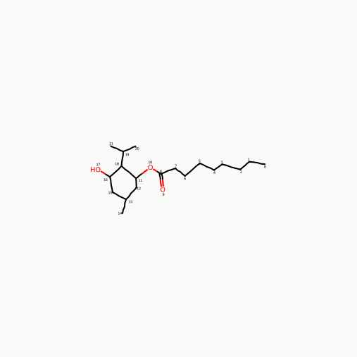 CCCCCCCCC(=O)OC1CC(C)CC(O)C1C(C)C